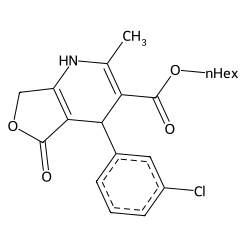 CCCCCCOC(=O)C1=C(C)NC2=C(C(=O)OC2)C1c1cccc(Cl)c1